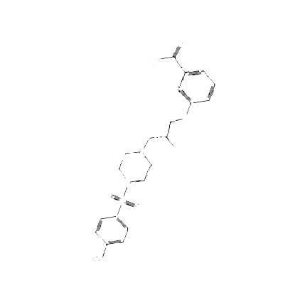 CCCCc1ccc(S(=O)(=O)N2CCN(CC(O)COc3cccc(C(=N)N)c3)CC2)cc1